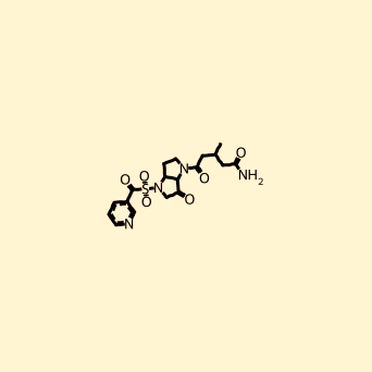 CC(CC(N)=O)CC(=O)N1CCC2C1C(=O)CN2S(=O)(=O)C(=O)c1cccnc1